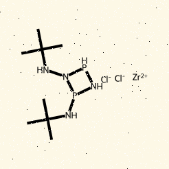 CC(C)(C)NN1PNP1NC(C)(C)C.[Cl-].[Cl-].[Zr+2]